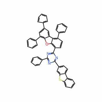 c1ccc(-c2cc(-c3ccccc3)c3oc4c(-c5nc(-c6ccccc6)nc(-c6ccc7c(c6)sc6ccccc67)n5)ccc(-c5ccccc5)c4c3c2)cc1